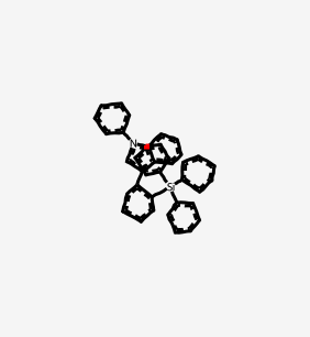 c1ccc(-n2cc(-c3ccccc3[Si](c3ccccc3)(c3ccccc3)c3ccccc3)c3ccccc32)cc1